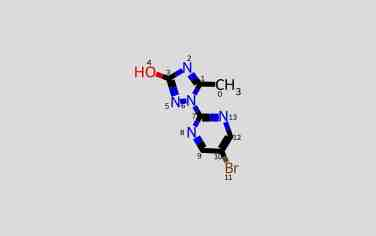 Cc1nc(O)nn1-c1ncc(Br)cn1